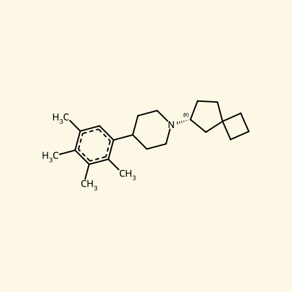 Cc1cc(C2CCN([C@@H]3CCC4(CCC4)C3)CC2)c(C)c(C)c1C